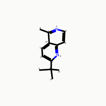 Cc1nccc2nc(C(C)(C)C)ccc12